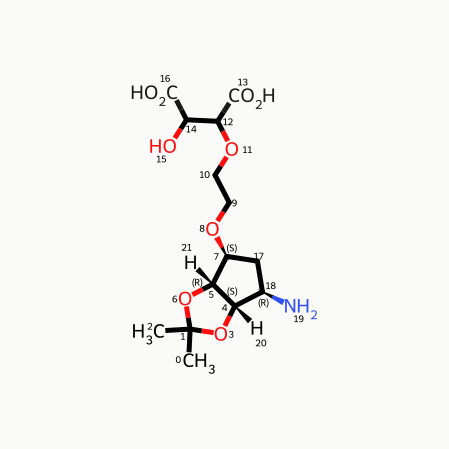 CC1(C)O[C@@H]2[C@H](O1)[C@@H](OCCOC(C(=O)O)C(O)C(=O)O)C[C@H]2N